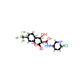 O=C(Nc1ccc(Cl)nc1)c1c(O)c2ccc(C(F)(F)F)cc2oc1=O